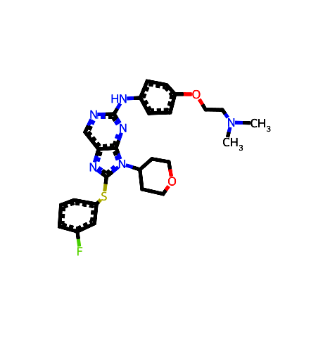 CN(C)CCOc1ccc(Nc2ncc3nc(Sc4cccc(F)c4)n(C4CCOCC4)c3n2)cc1